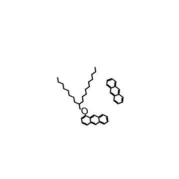 CCCCCCCCCCC(CCCCCCCC)COc1cccc2cc3ccccc3cc12.c1ccc2cc3ccccc3cc2c1